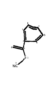 [CH]=C(SC#N)c1ccccc1